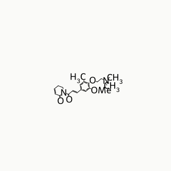 COc1cc(/C=C/C(=O)N2CCC=CC2=O)cc(C)c1OCCN(C)C